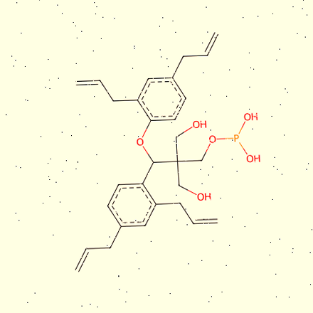 C=CCc1ccc(OC(c2ccc(CC=C)cc2CC=C)C(CO)(CO)COP(O)O)c(CC=C)c1